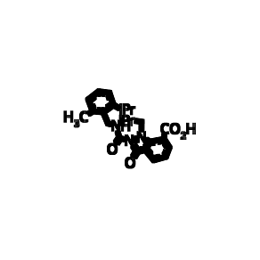 Cc1cccc(C(C)C)c1CNC(=O)n1c(=O)c2cccc(C(=O)O)c2n1CC(C)C